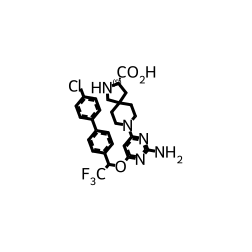 Nc1nc(OC(c2ccc(-c3ccc(Cl)cc3)cc2)C(F)(F)F)cc(N2CCC3(CC2)CN[C@H](C(=O)O)C3)n1